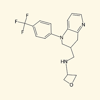 FC(F)(F)c1ccc(N2CC(CNC3COC3)Cc3ncccc32)cc1